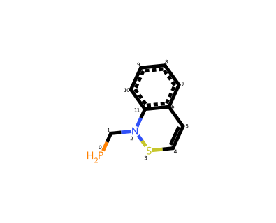 PCN1SC=Cc2ccccc21